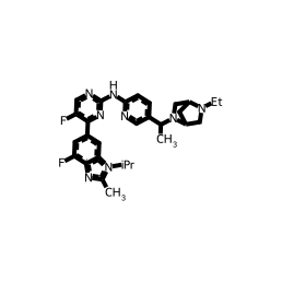 CCN1CC2CC1CN2C(C)c1ccc(Nc2ncc(F)c(-c3cc(F)c4nc(C)n(C(C)C)c4c3)n2)nc1